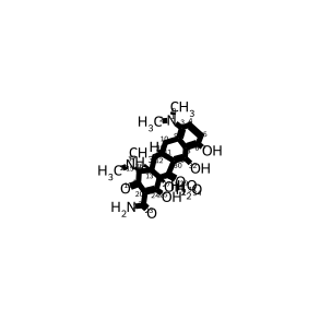 CN(C)c1ccc(O)c2c1C[C@H]1C[C@H]3[C@H](N(C)C)C(=O)C(C(N)=O)=C(O)[C@@]3(O)C(=O)C1=C2O.O.O